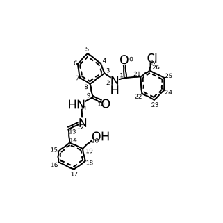 O=C(Nc1ccccc1C(=O)N/N=C/c1ccccc1O)c1ccccc1Cl